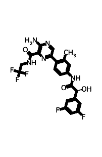 Cc1cc(NC(=O)[C@H](O)c2cc(F)cc(F)c2)ccc1-c1cnc(N)c(C(=O)NCC(F)(F)F)n1